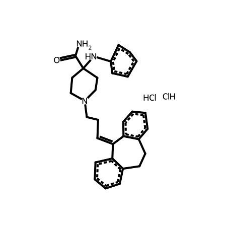 Cl.Cl.NC(=O)C1(Nc2ccccc2)CCN(CCC=C2c3ccccc3CCc3ccccc32)CC1